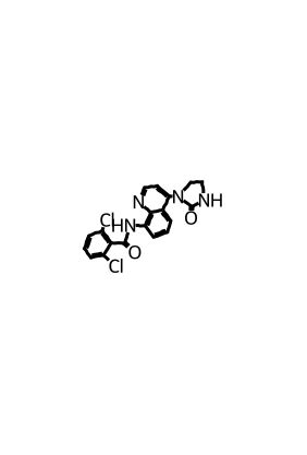 O=C(Nc1cccc2c(N3CCNC3=O)ccnc12)c1c(Cl)cccc1Cl